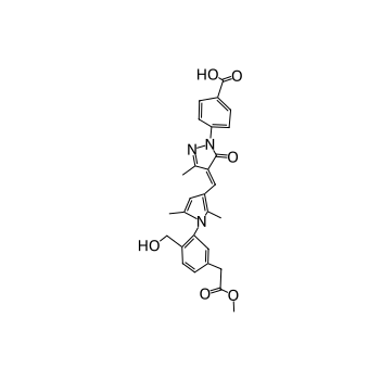 COC(=O)Cc1ccc(CO)c(-n2c(C)cc(C=C3C(=O)N(c4ccc(C(=O)O)cc4)N=C3C)c2C)c1